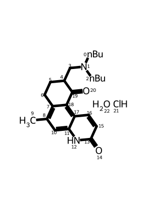 CCCCN(CCCC)CC1CCc2c(C)cc3[nH]c(=O)ccc3c2C1=O.Cl.O